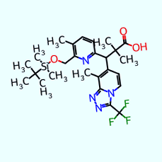 Cc1ccc(C(c2ccn3c(C(F)(F)F)nnc3c2C)C(C)(C)C(=O)O)nc1CO[Si](C)(C)C(C)(C)C